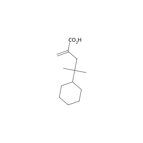 C=C(CC(C)(C)C1CCCCC1)C(=O)O